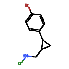 ClNCC1CC1c1ccc(Br)cc1